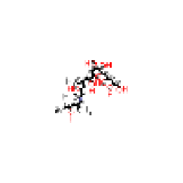 C/C(=C\C(C)CC(O)CC(C)C)CC(O)CC(C)CC(O)C1CC(O)C(O)C(CC(O)CC(O)CO)O1